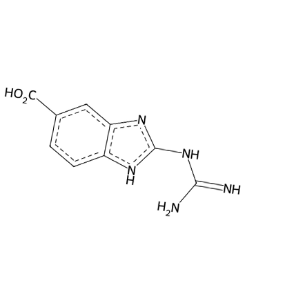 N=C(N)Nc1nc2cc(C(=O)O)ccc2[nH]1